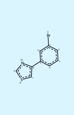 Brc1cccc(-c2cscn2)c1